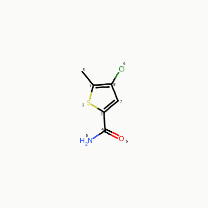 Cc1sc(C(N)=O)cc1Cl